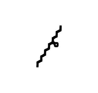 CCCCCCCCC(=O)CCCCC